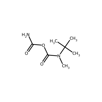 CN(C(=O)OC(N)=O)C(C)(C)C